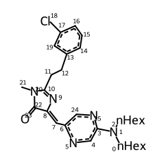 CCCCCCN(CCCCCC)c1cnc(/C=C2\N=C(CCc3cccc(Cl)c3)N(C)C2=O)cn1